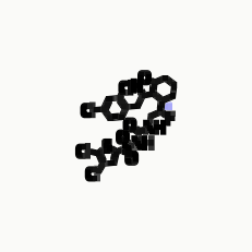 O=C(NC/C(F)=C1/CCCc2onc(Cc3ccc(Cl)cc3Cl)c21)NS(=O)(=O)c1cc(Cl)c(Cl)s1